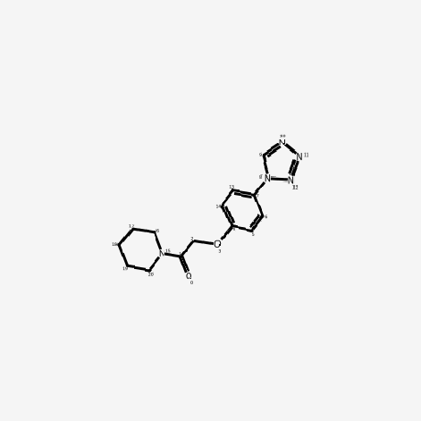 O=C(COc1ccc(-n2cnnn2)cc1)N1CCCCC1